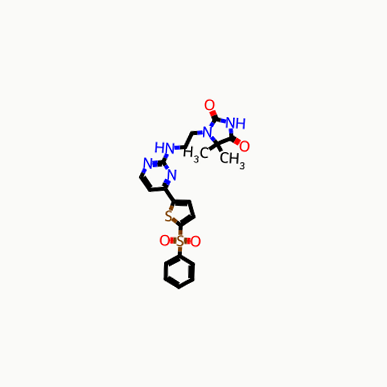 CC1(C)C(=O)NC(=O)N1CCNc1nccc(-c2ccc(S(=O)(=O)c3ccccc3)s2)n1